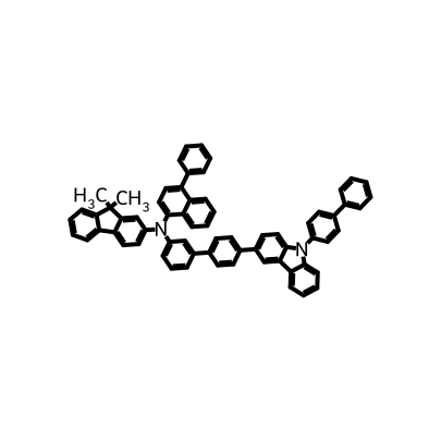 CC1(C)c2ccccc2-c2ccc(N(c3cccc(-c4ccc(-c5ccc6c(c5)c5ccccc5n6-c5ccc(-c6ccccc6)cc5)cc4)c3)c3ccc(-c4ccccc4)c4ccccc34)cc21